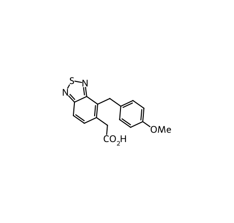 COc1ccc(Cc2c(CC(=O)O)ccc3nsnc23)cc1